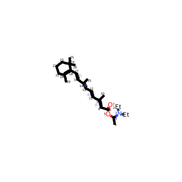 CCN(CC)C(C)OC(=O)/C=C(C)/C=C/C=C(C)/C=C/C1=C(C)CCCC1(C)C